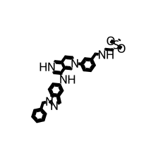 CS(=O)(=O)CCNCc1cccc(N2C=CC3=CNC=C(Nc4ccc5c(cnn5Cc5ccccc5)c4)C3=C2)c1